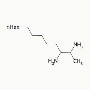 CCCCCCCCCCCC(N)C(C)N